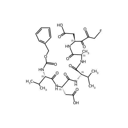 CC(C)[C@H](NC(=O)OCc1ccccc1)C(=O)N[C@@H](CC(=O)O)C(=O)N[C@H](C(=O)N[C@@H](C)C(=O)N[C@@H](CC(=O)O)C(=O)C(=O)CF)C(C)C